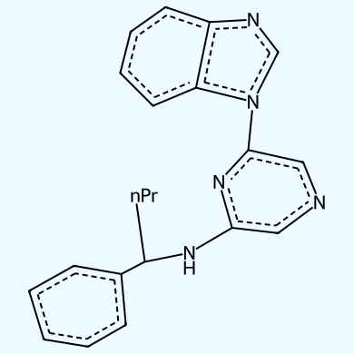 CCCC(Nc1cncc(-n2cnc3ccccc32)n1)c1ccccc1